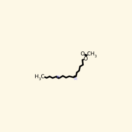 CCCC/C=C/CCC/C=C\CCCCCOC(C)=O